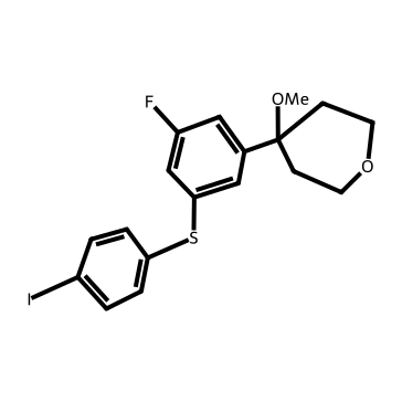 COC1(c2cc(F)cc(Sc3ccc(I)cc3)c2)CCOCC1